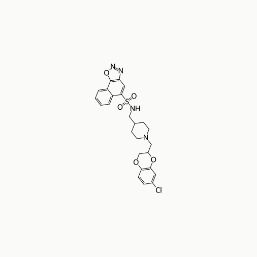 O=S(=O)(NCC1CCN(CC2COc3ccc(Cl)cc3O2)CC1)c1cc2nnoc2c2ccccc12